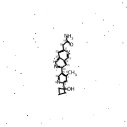 Cc1cc(C2(O)CCC2)ncc1-c1cc2cnc(CC(N)=O)cc2cn1